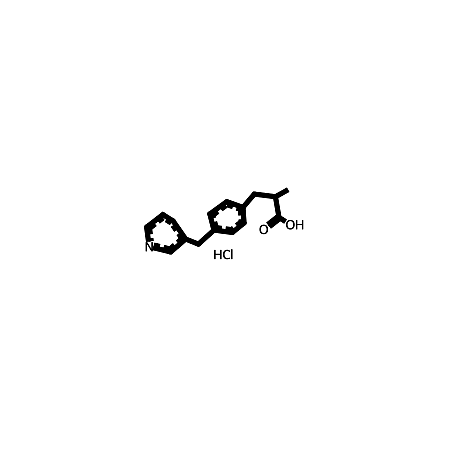 CC(Cc1ccc(Cc2cccnc2)cc1)C(=O)O.Cl